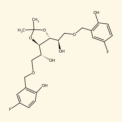 CC1(C)O[C@H]([C@H](O)COCc2cc(F)ccc2O)[C@@H]([C@H](O)COCc2cc(F)ccc2O)O1